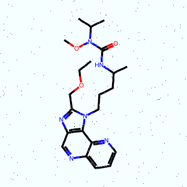 CCOCc1nc2cnc3cccnc3c2n1CCCC(C)NC(=O)N(OC)C(C)C